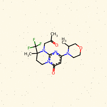 CC(=O)CN1c2nc(N3CCOCC3C)cc(=O)n2CCC1(C)C(F)(F)F